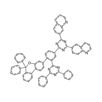 c1ccc(-c2nc(-c3ccccc3)nc(-c3cc(-c4nc(-c5ccc6ncccc6c5)nc(-c5ccc6cccnc6c5)n4)ccc3-c3ccc4c(c3)OC(c3ccccc3)(c3ccccc3)c3ccccc3-4)n2)cc1